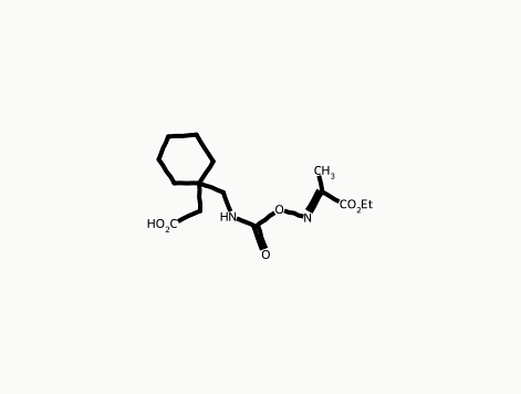 CCOC(=O)C(C)=NOC(=O)NCC1(CC(=O)O)CCCCC1